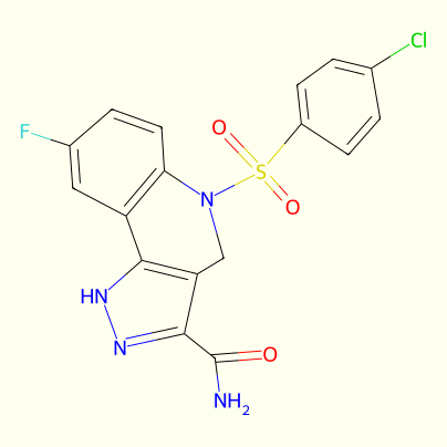 NC(=O)c1n[nH]c2c1CN(S(=O)(=O)c1ccc(Cl)cc1)c1ccc(F)cc1-2